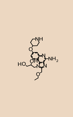 CCOCc1nc2c(N)nc3cc(OC4CCNCC4)ccc3c2n1CC(O)CO